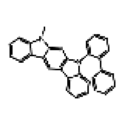 Cn1c2ccccc2c2cc3c4ccccc4n(-c4ccccc4-c4ccccc4)c3cc21